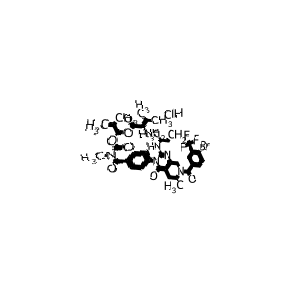 C=C[C@H](C)Nc1nc2c(c(=O)n1-c1ccc(C(=O)N(C)C(=O)O[C@H](OC(=O)[C@@H](N)C(C)C)C(C)C)cc1)C[C@@H](C)N(C(=O)c1ccc(Br)c(C(F)(F)F)c1)C2.Cl